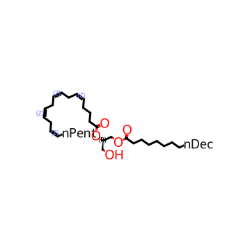 CCCCC/C=C\C/C=C\C/C=C\C/C=C\CCCC(=O)O[C@H](CO)COC(=O)CCCCCCCCCCCCCCCCC